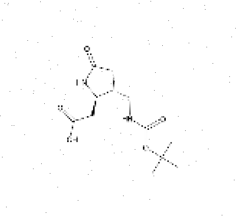 CC(C)(C)OC(=O)NC[C@H]1CC(=O)N[C@@H]1CC(=O)O